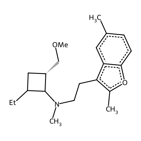 CCC1C[C@H](COC)C1N(C)CCc1c(C)oc2ccc(C)cc12